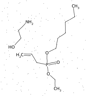 C=CCP(=O)(OCC)OCCCCCC.NCCO